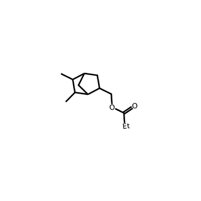 CCC(=O)OCC1CC2CC1C(C)C2C